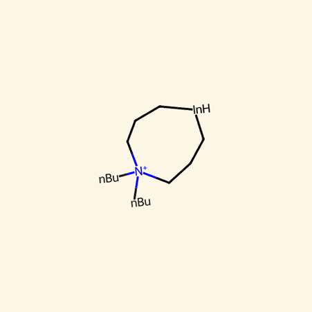 CCCC[N+]1(CCCC)CC[CH2][InH][CH2]CC1